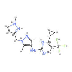 Cc1c(Nc2ncc(C(F)(F)F)c(C3CC3)n2)cnn1Cc1ccn(C)n1